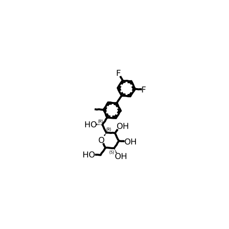 Cc1cc(-c2cc(F)cc(F)c2)ccc1[C@@H](O)[C@H]1OC(CO)[C@@H](O)C(O)C1O